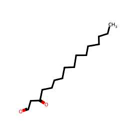 CCCCCCCCCCCCCC(=O)CC=O